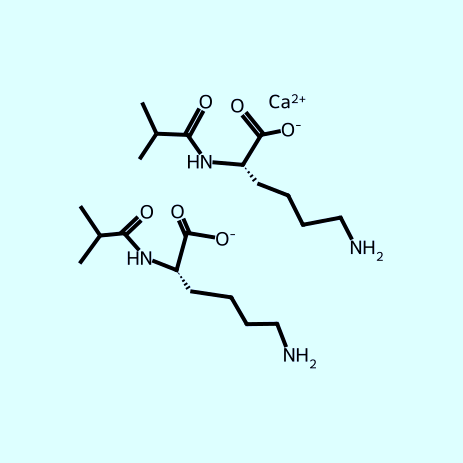 CC(C)C(=O)N[C@@H](CCCCN)C(=O)[O-].CC(C)C(=O)N[C@@H](CCCCN)C(=O)[O-].[Ca+2]